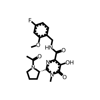 COc1cc(F)ccc1CNC(=O)c1nc([C@@H]2CCCN2C(C)=O)n(C)c(=O)c1O